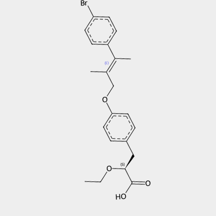 CCO[C@@H](Cc1ccc(OC/C(C)=C(\C)c2ccc(Br)cc2)cc1)C(=O)O